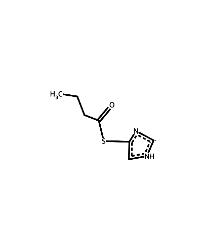 CCCC(=O)Sc1c[nH][c]n1